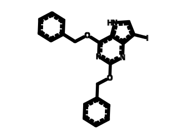 Ic1c[nH]c2c(OCc3ccccc3)nc(OCc3ccccc3)nc12